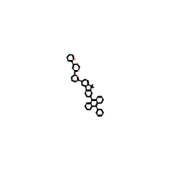 CC1(C)c2ccc(-c3cccc4c3oc3cc5oc6ccccc6c5cc34)cc2-c2ccc(-c3c4ccccc4c(-c4ccccc4)c4ccccc34)cc21